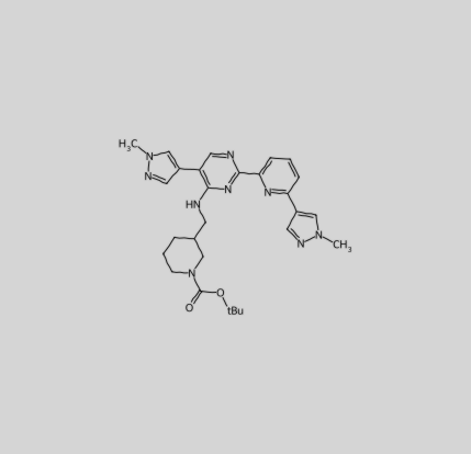 Cn1cc(-c2cccc(-c3ncc(-c4cnn(C)c4)c(NCC4CCCN(C(=O)OC(C)(C)C)C4)n3)n2)cn1